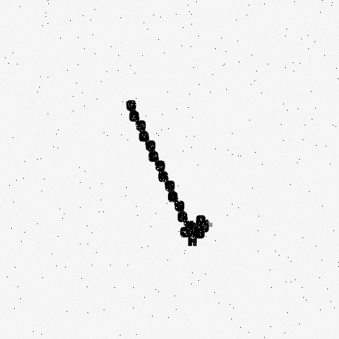 COCCOCCOCCOCCOCCOCCOCCOCCOCCOCCOCCOCCn1cc([N+](=O)[O-])c(=O)[nH]c1=O